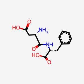 N[C@@H](CC(=O)O)C(=O)N[C@H](Cc1ccccc1)C(=O)O